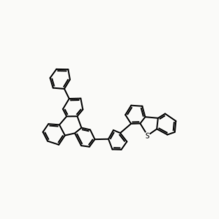 c1ccc(-c2ccc3c(c2)c2ccccc2c2ccc(-c4cccc(-c5cccc6c5sc5ccccc56)c4)cc23)cc1